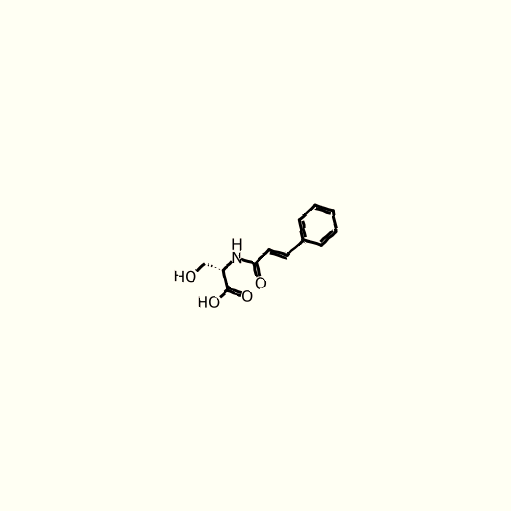 O=C(/C=C/c1ccccc1)N[C@@H](CO)C(=O)O